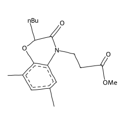 CCCCC1Oc2c(C)cc(C)cc2N(CCC(=O)OC)C1=O